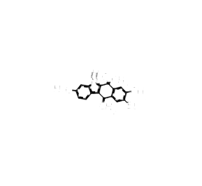 C=C1c2cc(CC)c(C)cc2C(C)(C)c2[nH]c3cc(C)ccc3c21